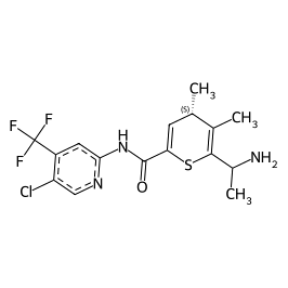 CC1=C(C(C)N)SC(C(=O)Nc2cc(C(F)(F)F)c(Cl)cn2)=C[C@@H]1C